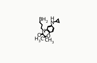 BCCCN1C(=O)C(C)(C)Oc2ccc(NC3CC3)cc21